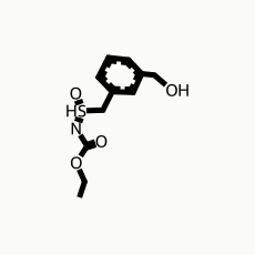 CCOC(=O)/N=[SH](=O)\Cc1cccc(CO)c1